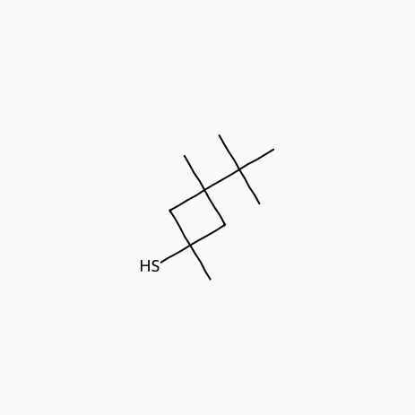 CC1(S)CC(C)(C(C)(C)C)C1